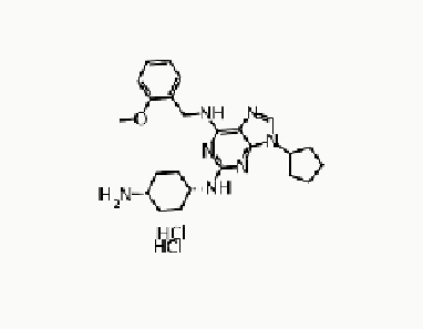 COc1ccccc1CNc1nc(N[C@H]2CC[C@H](N)CC2)nc2c1ncn2C1CCCC1.Cl.Cl